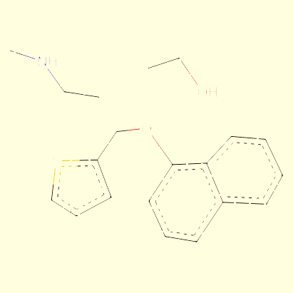 CCO.CNCC[C@H](Oc1cccc2ccccc12)c1cccs1